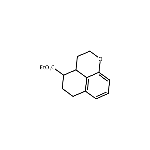 CCOC(=O)C1CCc2cccc3c2C1CCO3